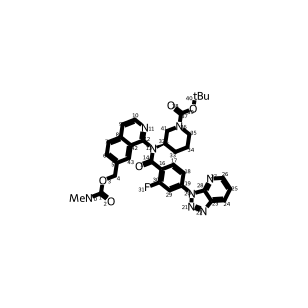 CNC(=O)OCc1ccc2ccnc(N(C(=O)c3ccc(-n4nnc5cccnc54)cc3F)[C@@H]3CCCN(C(=O)OC(C)(C)C)C3)c2c1